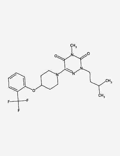 CC(C)CCn1nc(N2CCC(Oc3ccccc3C(F)(F)F)CC2)c(=O)n(C)c1=O